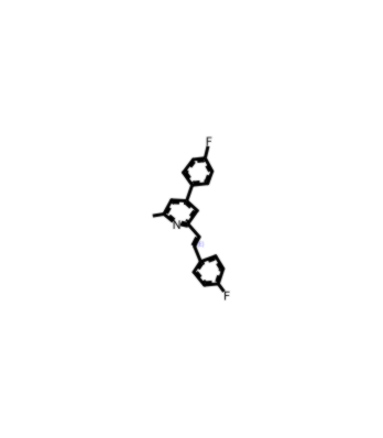 Cc1cc(-c2ccc(F)cc2)cc(/C=C/c2ccc(F)cc2)n1